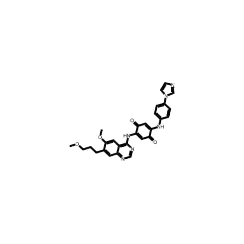 COCCCc1cc2ncnc(NC3=CC(=O)C(Nc4ccc(-n5ccnc5)cc4)=CC3=O)c2cc1OC